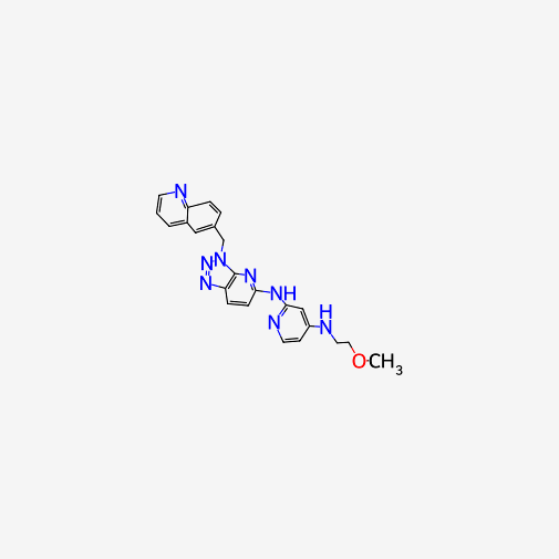 COCCNc1ccnc(Nc2ccc3nnn(Cc4ccc5ncccc5c4)c3n2)c1